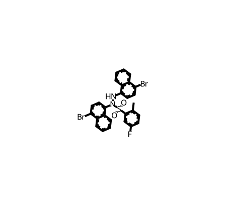 Cc1ccc(F)cc1S(=O)(=O)N(Nc1ccc(Br)c2ccccc12)c1ccc(Br)c2ccccc12